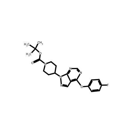 CC(C)(C)OC(=O)N1CCC(n2ncc3c(Oc4ccc(F)cc4)ncnc32)CC1